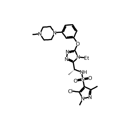 CCn1c(Oc2cccc(N3CCN(C)CC3)c2)nnc1[C@@H](C)NS(=O)(=O)c1c(C)nn(C)c1Cl